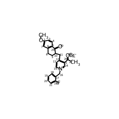 COc1ccc2c(c1)CCC(Cc1cc[n+](Cc3ccccc3F)cc1C(C)=O)C2=O.[Br-]